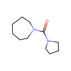 O=C(N1CCCCCC1)N1CCCC1